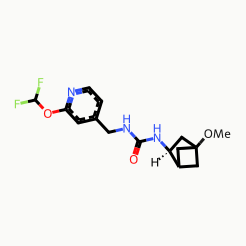 COC12CC(C1)[C@@H](NC(=O)NCc1ccnc(OC(F)F)c1)C2